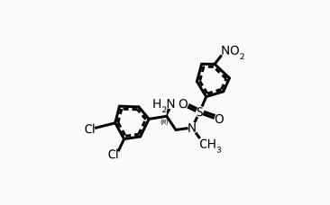 CN(C[C@H](N)c1ccc(Cl)c(Cl)c1)S(=O)(=O)c1ccc([N+](=O)[O-])cc1